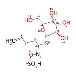 C=CCC/C(=N\OS(=O)(=O)O)S[C@@H]1O[C@H](CO)[C@@H](O)[C@H](O)[C@H]1O